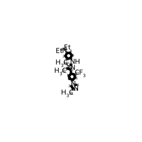 CCN(CC)c1ccc(Nc2nc(-c3ccc(-n4cnc(C)c4)cc3C(F)(F)F)c(C)s2)c(C)c1